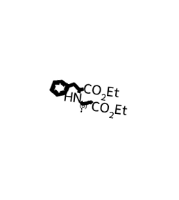 CCOC(=O)C[C@H](C)NC(Cc1ccccc1)C(=O)OCC